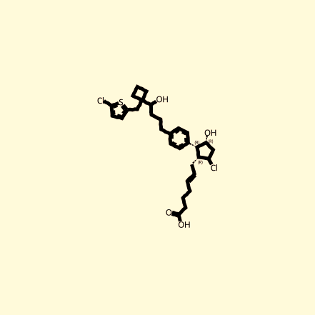 O=C(O)CCCC=CC[C@H]1C(Cl)C[C@@H](O)[C@H]1c1ccc(CCCC(O)C2(Cc3ccc(Cl)s3)CCC2)cc1